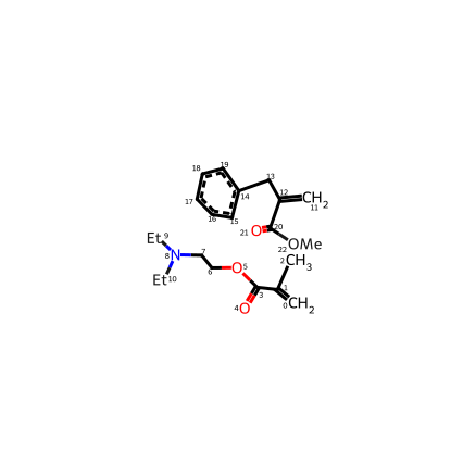 C=C(C)C(=O)OCCN(CC)CC.C=C(Cc1ccccc1)C(=O)OC